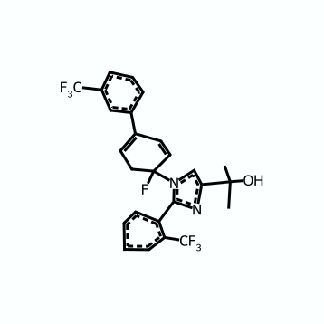 CC(C)(O)c1cn(C2(F)C=CC(c3cccc(C(F)(F)F)c3)=CC2)c(-c2ccccc2C(F)(F)F)n1